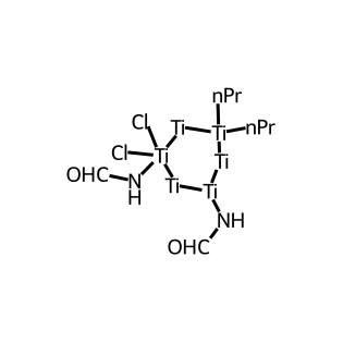 CC[CH2][Ti]1([CH2]CC)[Ti][Ti]([NH]C=O)[Ti][Ti]([Cl])([Cl])([NH]C=O)[Ti]1